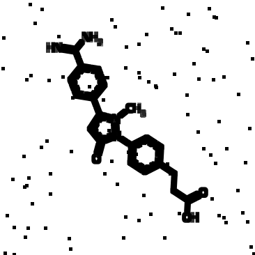 Cn1c(-c2ccc(C(=N)N)cc2)cc(=O)n1-c1ccc(CCC(=O)O)cc1